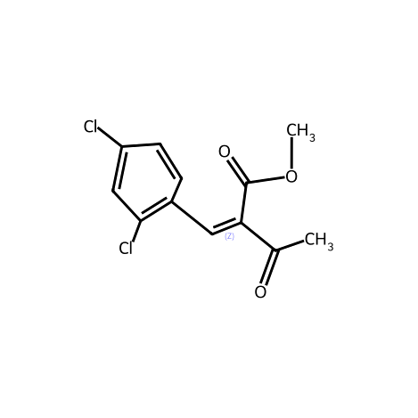 COC(=O)/C(=C\c1ccc(Cl)cc1Cl)C(C)=O